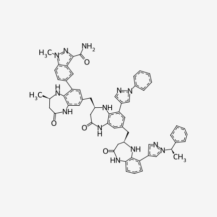 C[C@@H]1CC(=O)Nc2cc(C[C@@H]3CC(=O)Nc4cc(C[C@@H]5CC(=O)Nc6cccc(-c7cnn([C@H](C)c8ccccc8)c7)c6N5)cc(-c5cnn(-c6ccccc6)c5)c4N3)cc(-c3ccc4c(c3)c(C(N)=O)nn4C)c2N1